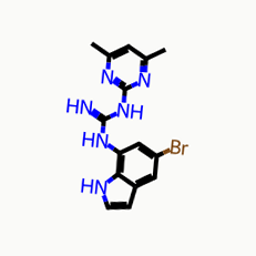 Cc1cc(C)nc(NC(=N)Nc2cc(Br)cc3cc[nH]c23)n1